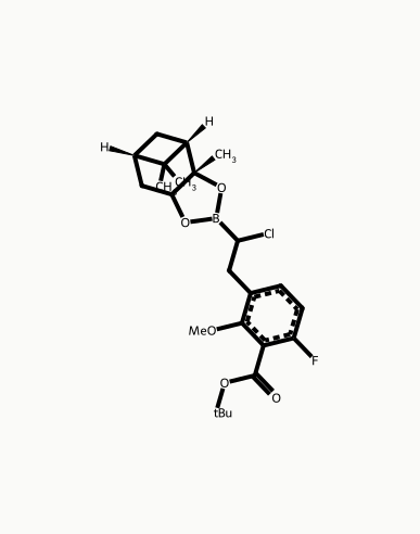 COc1c(CC(Cl)B2OC3C[C@@H]4C[C@@H](C4(C)C)[C@]3(C)O2)ccc(F)c1C(=O)OC(C)(C)C